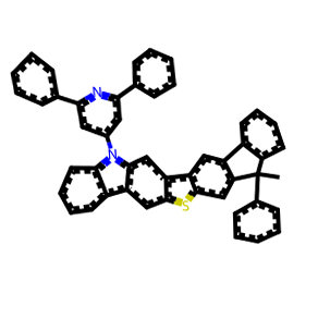 CC1(c2ccccc2)c2ccccc2-c2cc3c(cc21)sc1cc2c4ccccc4n(-c4cc(-c5ccccc5)nc(-c5ccccc5)c4)c2cc13